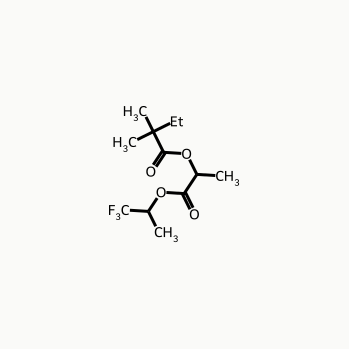 CCC(C)(C)C(=O)OC(C)C(=O)OC(C)C(F)(F)F